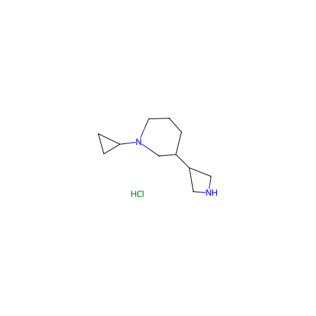 C1CC(C2CNC2)CN(C2CC2)C1.Cl